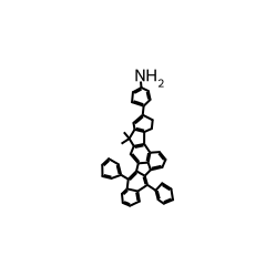 CC1(C)C2=C(CCC(c3ccc(N)cc3)=C2)c2c1cc1c3c(cccc23)-c2c-1c(-c1ccccc1)c1ccccc1c2-c1ccccc1